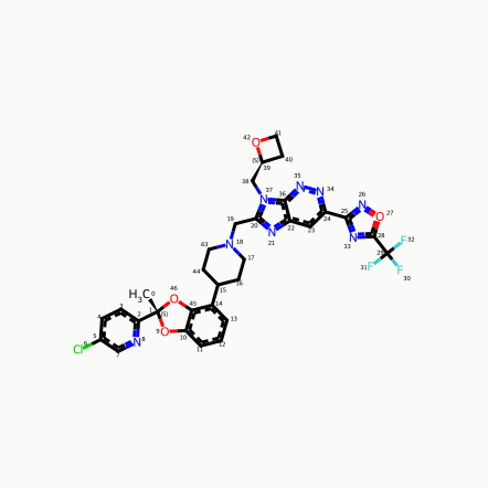 C[C@]1(c2ccc(Cl)cn2)Oc2cccc(C3CCN(Cc4nc5cc(-c6noc(C(F)(F)F)n6)nnc5n4C[C@@H]4CCO4)CC3)c2O1